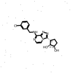 O[C@@H]1[C@H](O)CC[C@H]1c1nnc2c(NCc3cccc(Cl)c3)nccn12